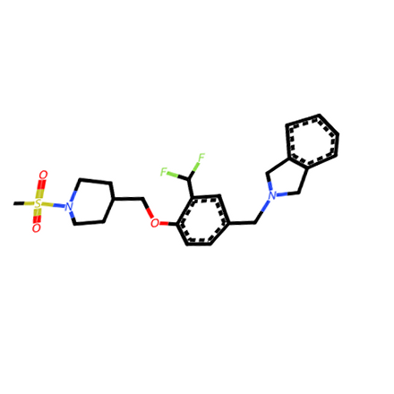 CS(=O)(=O)N1CCC(COc2ccc(CN3Cc4ccccc4C3)cc2C(F)F)CC1